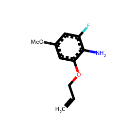 C=CCOc1cc(OC)cc(F)c1N